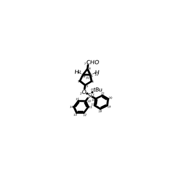 CC(C)(C)[Si](OC1C[C@@H]2C(C=O)[C@@H]2C1)(c1ccccc1)c1ccccc1